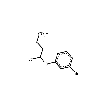 CCC(CCC(=O)O)Oc1cccc(Br)c1